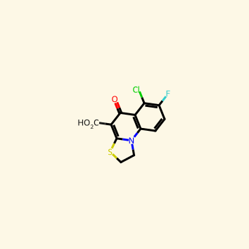 O=C(O)c1c2n(c3ccc(F)c(Cl)c3c1=O)CCS2